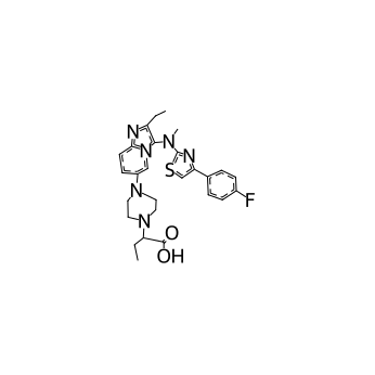 CCc1nc2ccc(N3CCN(C(CC)C(=O)O)CC3)cn2c1N(C)c1nc(-c2ccc(F)cc2)cs1